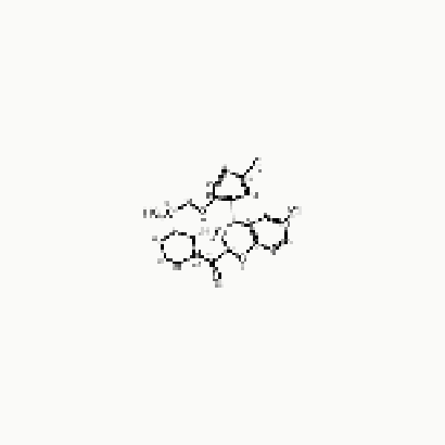 CC(Oc1ccc(Cl)cc1Cc1cc(Cl)ccc1OCC(=O)O)C(=O)N1CCCCC1